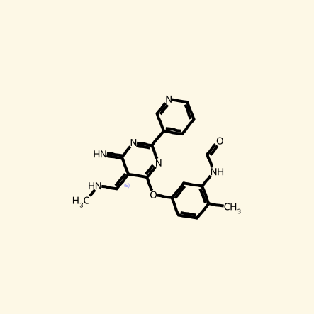 CN/C=C1\C(=N)N=C(c2cccnc2)N=C1Oc1ccc(C)c(NC=O)c1